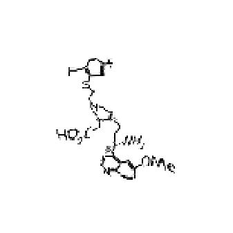 COc1ccc2nccc([C@H](N)CC[C@@H]3CCN(CCSc4cc(F)ccc4F)C[C@@H]3CC(=O)O)c2c1